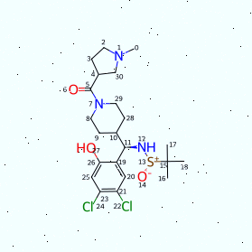 CN1CCC(C(=O)N2CCC([C@@H](N[S@@+]([O-])C(C)(C)C)c3cc(Cl)c(Cl)cc3O)CC2)C1